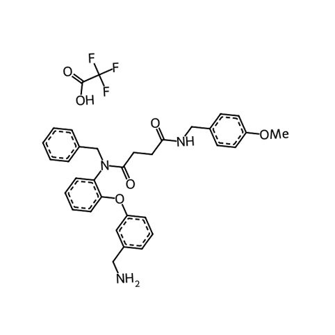 COc1ccc(CNC(=O)CCC(=O)N(Cc2ccccc2)c2ccccc2Oc2cccc(CN)c2)cc1.O=C(O)C(F)(F)F